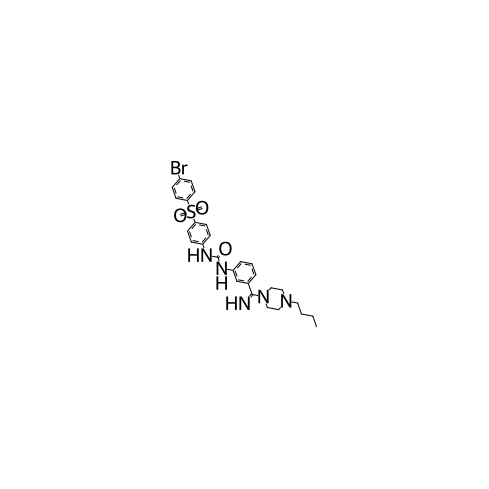 CCCCN1CCN(C(=N)c2cccc(NC(=O)Nc3ccc(S(=O)(=O)c4ccc(Br)cc4)cc3)c2)CC1